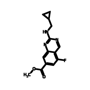 COC(=O)c1cc(F)c2cnc(NCC3CC3)nc2c1